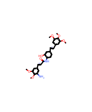 COc1cc(/C=C/C(=O)Nc2ccc(/C=C/c3cc(OC)c(OC)c(OC)c3)cc2O)cc(N)c1OC